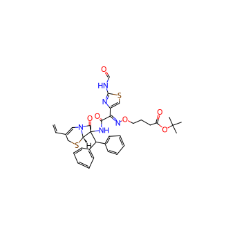 C=CC1=CN2C(=O)C(NC(=O)C(=NOCCCC(=O)OC(C)(C)C)c3csc(NC=O)n3)(C(c3ccccc3)c3ccccc3)[C@@H]2SC1